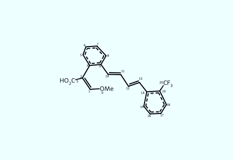 CO/C=C(/C(=O)O)c1ccccc1/C=C/C=C/c1ccccc1C(F)(F)F